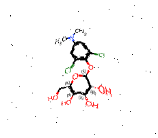 CN(C)c1cc(Cl)c(O[C@@H]2O[C@H](CO)[C@H](O)[C@H](O)[C@H]2O)c(Cl)c1